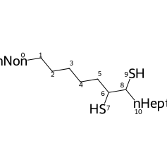 CCCCCCCCCCCCCCC(S)C(S)CCCCCCC